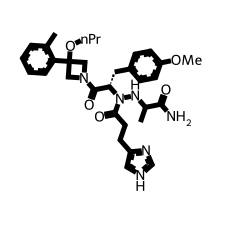 CCCOC1(c2ccccc2C)CN(C(=O)[C@H](Cc2ccc(OC)cc2)N(NC(C)C(N)=O)C(=O)CCc2c[nH]cn2)C1